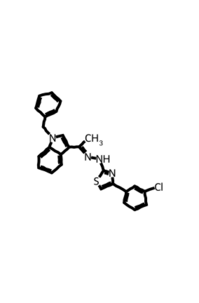 CC(=NNc1nc(-c2cccc(Cl)c2)cs1)c1cn(Cc2ccccc2)c2ccccc12